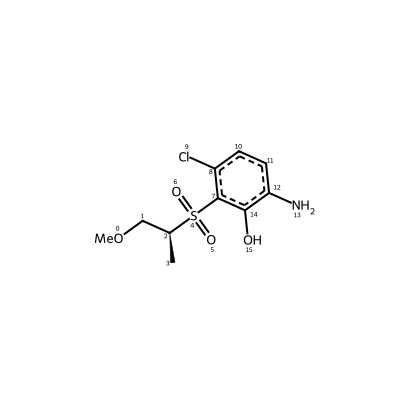 COC[C@H](C)S(=O)(=O)c1c(Cl)ccc(N)c1O